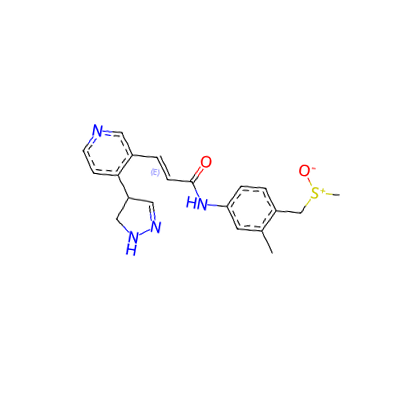 Cc1cc(NC(=O)/C=C/c2cnccc2C2C=NNC2)ccc1C[S+](C)[O-]